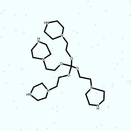 C1CN(CCOC(OCCN2CCNCC2)(OCCN2CCNCC2)OCCN2CCNCC2)CCN1